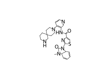 CN1C(=O)N(c2nc(C(=O)Nc3cnccc3N3CCC4(CCCNC4)CC3)cs2)C2C=CC=CC21